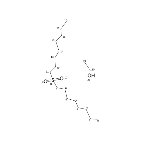 CCCCCCCCS(=O)(=O)CCCCCCCC.CCO